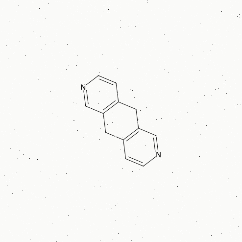 c1cc2c(cn1)Cc1ccncc1C2